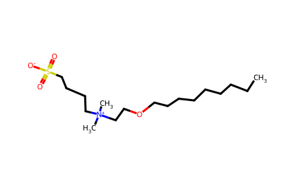 CCCCCCCCCOCC[N+](C)(C)CCCCS(=O)(=O)[O-]